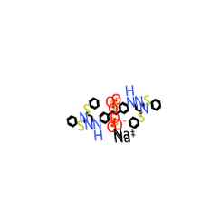 O=S(=O)([O-])c1cc(Nc2cc(Sc3ccccc3)nc(Sc3ccccc3)n2)ccc1C=Cc1ccc(Nc2cc(Sc3ccccc3)nc(Sc3ccccc3)n2)cc1S(=O)(=O)[O-].[Na+].[Na+]